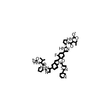 COC(=O)NC(C(=O)N1CCC[C@H]1c1ncc(-c2cc(F)c3c(c2)OC(c2cnc(-c4cccnc4)s2)n2c-3cc3cc(-c4cnc([C@@H]5CCCN5C(=O)C(NC(=O)OC)C(C)C)[nH]4)ccc32)[nH]1)C(C)C